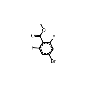 COC(=O)c1c(F)cc(Br)cc1I